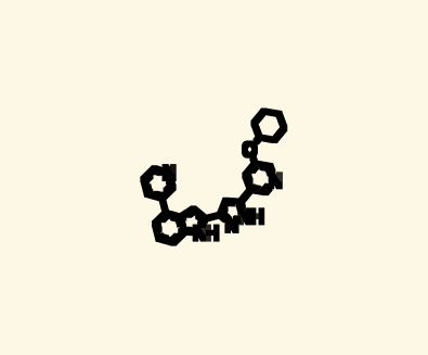 c1cncc(-c2cccc3[nH]c(-c4cc(-c5cncc(OC6CCCCC6)c5)[nH]n4)cc23)c1